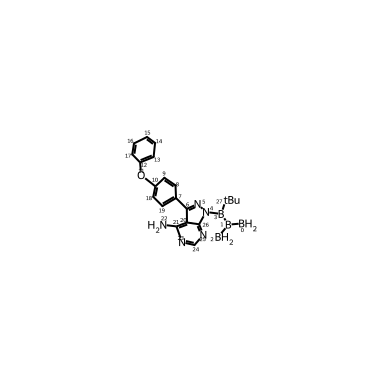 BB(B)B(n1nc(-c2ccc(Oc3ccccc3)cc2)c2c(N)ncnc21)C(C)(C)C